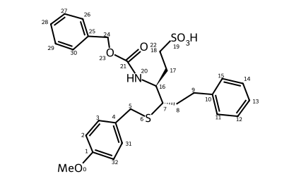 COc1ccc(CS[C@@H](CCc2ccccc2)[C@H](CCS(=O)(=O)O)NC(=O)OCc2ccccc2)cc1